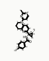 Cc1nccc(N2CCCc3nc([C@]4(NC(=O)c5ccc(F)cc5)C[C@H]4C)ccc32)n1